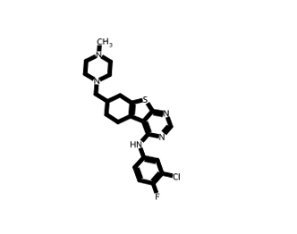 CN1CCN(CC2CCc3c(sc4ncnc(Nc5ccc(F)c(Cl)c5)c34)C2)CC1